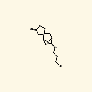 O=C1CC2(CO1)CC1OC2CC1NCCCS